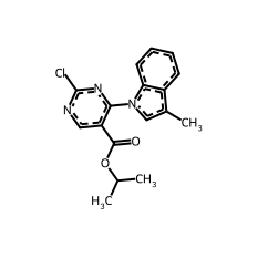 Cc1cn(-c2nc(Cl)ncc2C(=O)OC(C)C)c2ccccc12